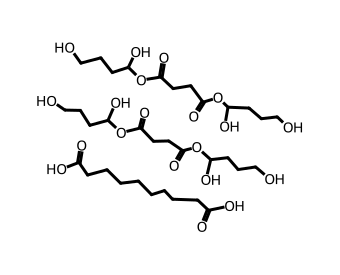 O=C(CCC(=O)OC(O)CCCO)OC(O)CCCO.O=C(CCC(=O)OC(O)CCCO)OC(O)CCCO.O=C(O)CCCCCCCCC(=O)O